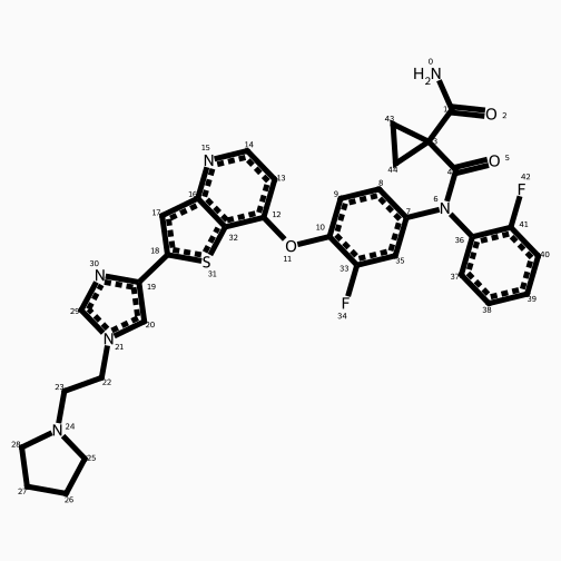 NC(=O)C1(C(=O)N(c2ccc(Oc3ccnc4cc(-c5cn(CCN6CCCC6)cn5)sc34)c(F)c2)c2ccccc2F)CC1